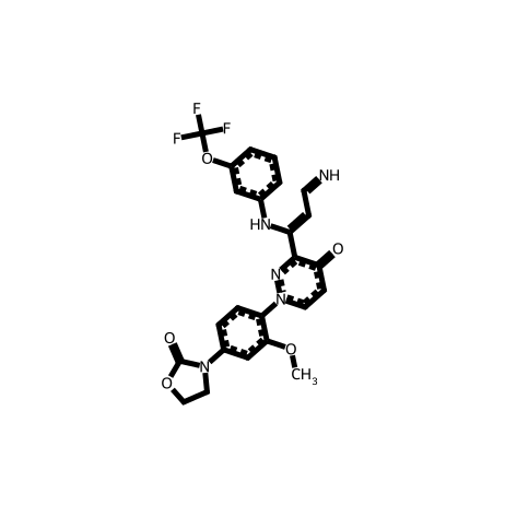 COc1cc(N2CCOC2=O)ccc1-n1ccc(=O)c(/C(=C/C=N)Nc2cccc(OC(F)(F)F)c2)n1